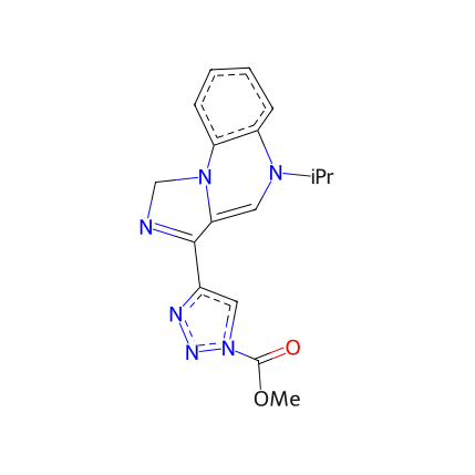 COC(=O)n1cc(C2=NCN3C2=CN(C(C)C)c2ccccc23)nn1